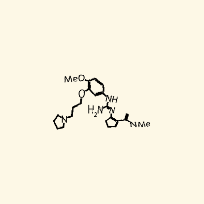 C=C(NC)C1=C(/N=C(\N)Nc2ccc(OC)c(OCCCN3CCCC3)c2)CCC1